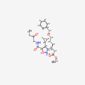 CC(C)CC(=O)CNC(=O)c1onc([C@@H](CCCOCc2ccccc2)CC(=O)OC(C)(C)C)c1C1CC1